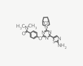 CN(C)C(=O)c1ccc(Oc2nc(-c3cnc(N)s3)nc(N3CC4CCC(C3)O4)n2)cc1